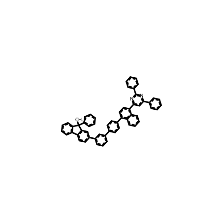 CC1(c2ccccc2)c2ccccc2-c2ccc(-c3cccc(-c4ccc(-c5ccc(-c6cc(-c7ccccc7)nc(-c7ccccc7)n6)c6ccccc56)cc4)c3)cc21